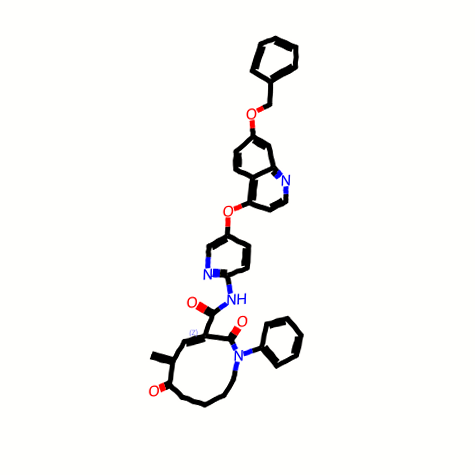 C=C1/C=C(/C(=O)Nc2ccc(Oc3ccnc4cc(OCc5ccccc5)ccc34)cn2)C(=O)N(c2ccccc2)CCCCC1=O